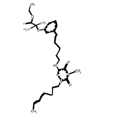 CCCCCCCn1nc(NCCCCCc2cccc(OC(C)(C)C(=O)OCC)c2)c(=O)n(C)c1=O